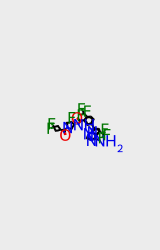 Nc1ncnn2c(-c3ccc(C(F)(F)F)c(C(=O)N[C@@H]4CN(C(=O)C5CC(F)(F)C5)C[C@@H]4F)c3)cc(C(F)(F)F)c12